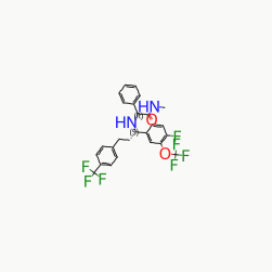 CNC(=O)[C@H](N[C@@H](CCc1ccc(C(F)(F)F)cc1)c1ccc(F)c(OC(F)(F)F)c1)c1ccccc1